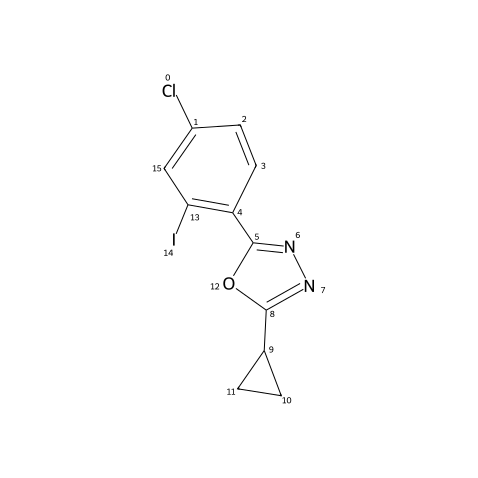 Clc1ccc(-c2nnc(C3CC3)o2)c(I)c1